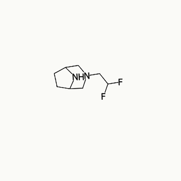 FC(F)CN1CC2CCC(C1)N2